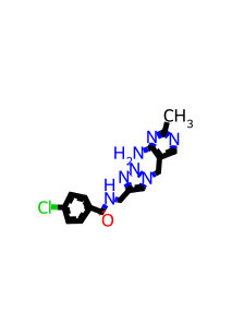 Cc1ncc(Cn2cc(CNC(=O)c3ccc(Cl)cc3)nn2)c(N)n1